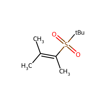 CC(C)=C(C)S(=O)(=O)C(C)(C)C